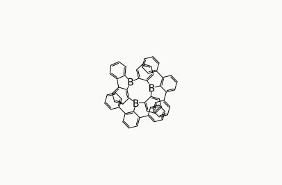 c1ccc(-c2cccc(-c3ccccc3)c2B2c3ccccc3B3c4ccccc4-c4cccc(c43)B(c3c(-c4ccccc4)cccc3-c3ccccc3)c3ccccc32)cc1